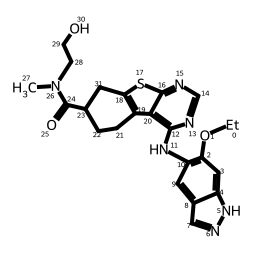 CCOc1cc2[nH]ncc2cc1Nc1ncnc2sc3c(c12)CCC(C(=O)N(C)CCO)C3